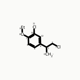 [CH2]C(CCl)c1ccc(OCC)c(Cl)c1